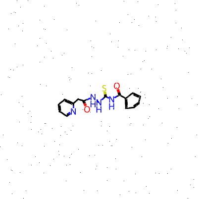 O=C(Cc1ccccn1)NNC(=S)NC(=O)c1ccccc1